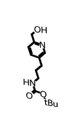 CC(C)(C)OC(=O)NCCCc1ccc(CO)nc1